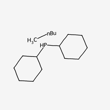 C1CCC(PC2CCCCC2)CC1.CCCCC